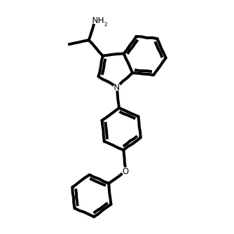 CC(N)c1cn(-c2ccc(Oc3ccccc3)cc2)c2ccccc12